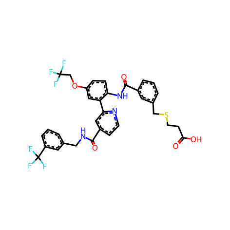 O=C(O)CCSCc1cccc(C(=O)Nc2ccc(OCC(F)(F)F)cc2-c2cc(C(=O)NCc3cccc(C(F)(F)F)c3)ccn2)c1